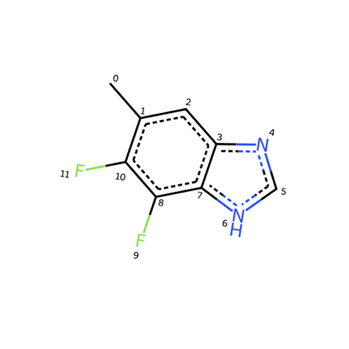 Cc1cc2nc[nH]c2c(F)c1F